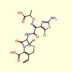 C=CC1=C(C(=O)O)N2C(=O)C(NC(=O)C(=NOC(C)C(=O)O)c3nc(N)sc3Cl)[C@@H]2SC1